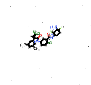 Nc1c(F)ccc(NC(=O)c2cc(NC(=O)C3(c4cc(C(F)(F)F)cc(C(F)(F)F)c4)CC3(Cl)Cl)ccc2Cl)c1F